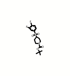 CC(C)(C)OC(=O)N1CCC(S(=O)(=O)c2ccc(F)c(F)c2)CC1